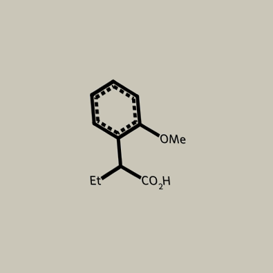 CCC(C(=O)O)c1ccccc1OC